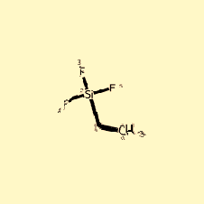 CC[Si](F)(F)F